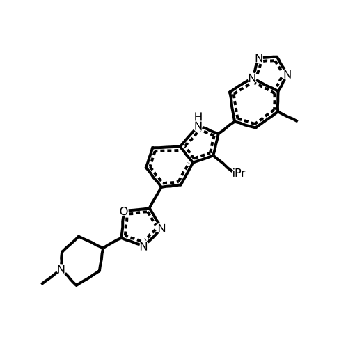 Cc1cc(-c2[nH]c3ccc(-c4nnc(C5CCN(C)CC5)o4)cc3c2C(C)C)cn2ncnc12